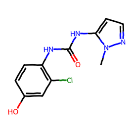 Cn1nccc1NC(=O)Nc1ccc(O)cc1Cl